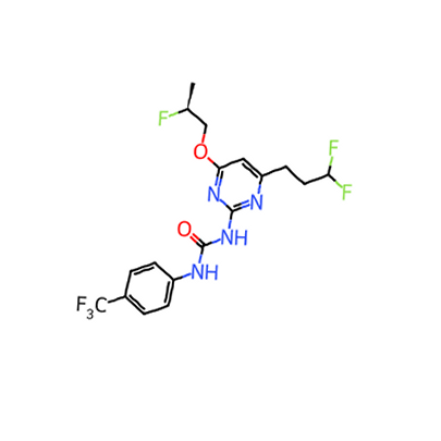 C[C@H](F)COc1cc(CCC(F)F)nc(NC(=O)Nc2ccc(C(F)(F)F)cc2)n1